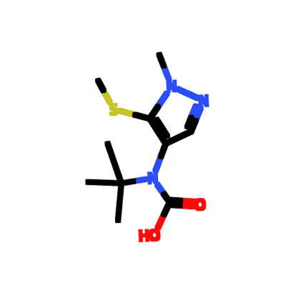 CSc1c(N(C(=O)O)C(C)(C)C)cnn1C